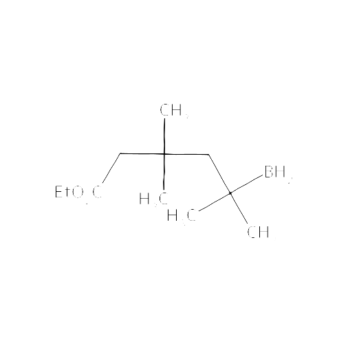 BC(C)(C)CC(C)(C)CC(=O)OCC